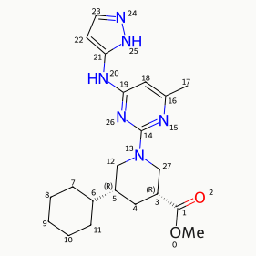 COC(=O)[C@@H]1C[C@H](C2CCCCC2)CN(c2nc(C)cc(Nc3ccn[nH]3)n2)C1